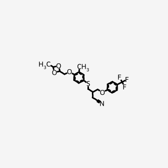 Cc1cc(SCC(CC#N)COc2ccc(C(F)(F)F)cc2)ccc1OCC1OC(C)O1